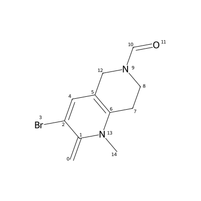 C=C1C(Br)=CC2=C(CCN(C=O)C2)N1C